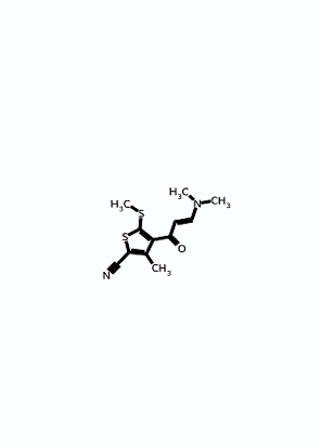 CSc1sc(C#N)c(C)c1C(=O)C=CN(C)C